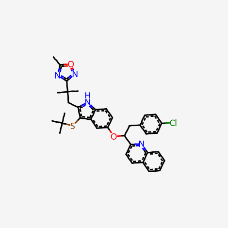 Cc1nc(C(C)(C)Cc2[nH]c3ccc(OC(Cc4ccc(Cl)cc4)c4ccc5ccccc5n4)cc3c2SC(C)(C)C)no1